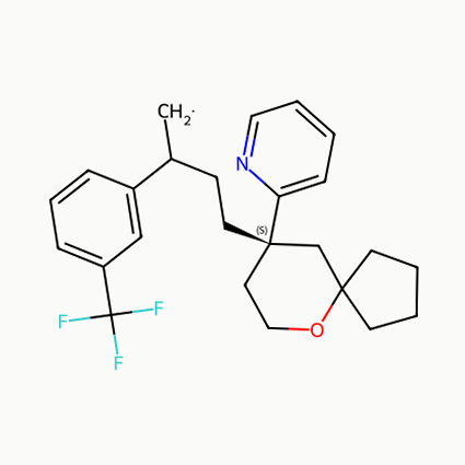 [CH2]C(CC[C@]1(c2ccccn2)CCOC2(CCCC2)C1)c1cccc(C(F)(F)F)c1